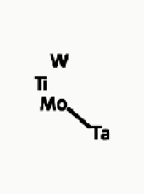 [Mo][Ta].[Ti].[W]